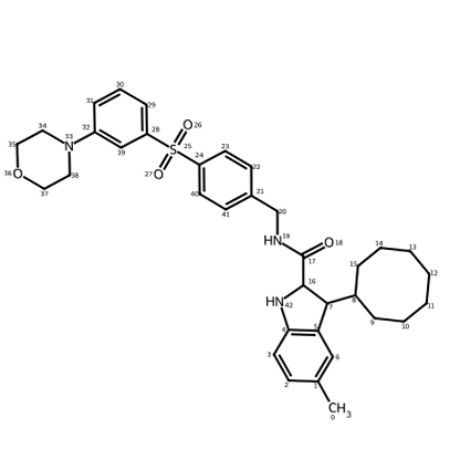 Cc1ccc2c(c1)C(C1CCCCCCC1)C(C(=O)NCc1ccc(S(=O)(=O)c3cccc(N4CCOCC4)c3)cc1)N2